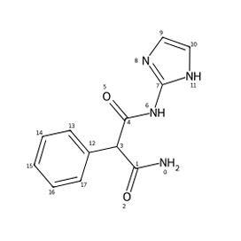 NC(=O)C(C(=O)Nc1ncc[nH]1)c1ccccc1